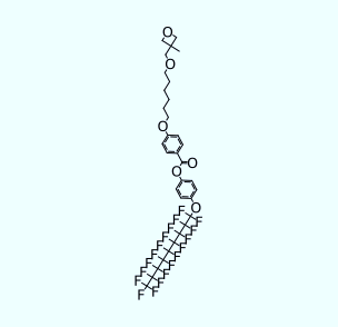 CC1(COCCCCCCOc2ccc(C(=O)Oc3ccc(OC(F)(F)C(F)(F)C(F)(F)C(F)(F)C(F)(F)C(F)(F)C(F)(F)C(F)(F)C(F)(F)F)cc3)cc2)COC1